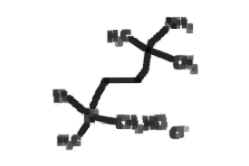 CC[N+](C)(C)CCC(C)(C)N.Cl.[Cl-]